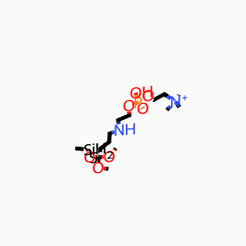 CO[Si](CCCNCCOP(=O)(O)OCC[N+](C)(C)C)(OC)O[SiH2]C